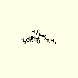 CCC=C(C)C(=O)NNC